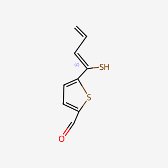 C=C/C=C(\S)c1ccc(C=O)s1